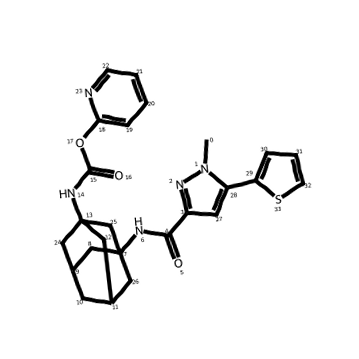 Cn1nc(C(=O)NC23CC4CC(CC(NC(=O)Oc5ccccn5)(C4)C2)C3)cc1-c1cccs1